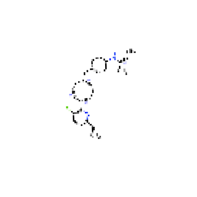 C=Cc1ccc(F)c(C2=C/C/C=C(/CC3=CCC(N/C(C)=C\CCCC)CC3)C/C=C\2)n1